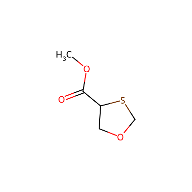 COC(=O)C1COCS1